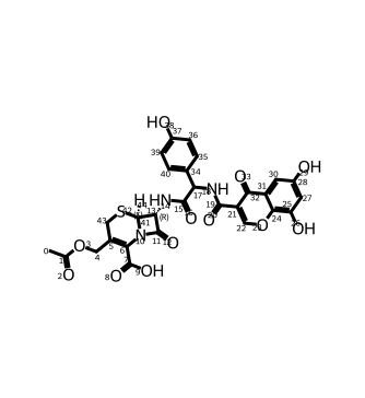 CC(=O)OCC1=C(C(=O)O)N2C(=O)[C@@H](NC(=O)C(NC(=O)c3coc4c(O)cc(O)cc4c3=O)c3ccc(O)cc3)[C@@H]2SC1